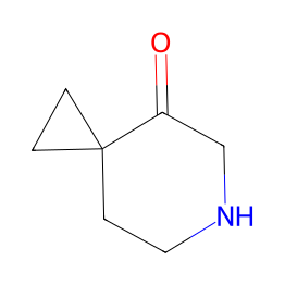 O=C1CNCCC12CC2